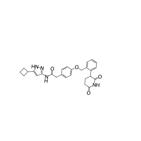 O=C1CCC(c2ccccc2COc2ccc(CC(=O)Nc3cc(C4CCC4)[nH]n3)cc2)C(=O)N1